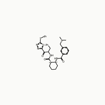 CC(C)CC(NC(=O)[C@@H]1CCCC[C@@H]1NC(=O)c1cccc(CN(C)C)c1)C(=O)c1nnc(SC(C)C)o1